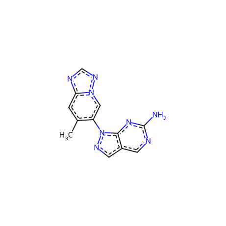 Cc1cc2ncnn2cc1-n1ncc2cnc(N)nc21